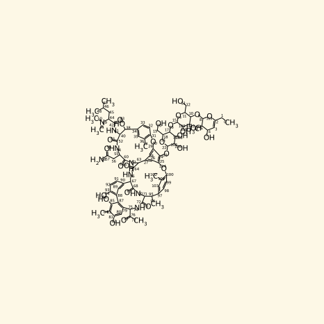 CCC1=CC(O)C(C)C(OC2C(CO)OC(OC3C(CO)OC(Oc4c5cc6cc4Oc4ccc(cc4C)C(O)C(NC(=O)C(CC(C)C)N(C)C)C(=O)NC(CC(N)=O)C(=O)NC6C(=O)NC4C(=O)NC(C(=O)NC(C(C)=O)c6cc(O)c(C)c(O)c6-c6cc4ccc6O)C(C)c4ccc(c(C)c4)O5)C(O)C3O)C(O)C2O)O1